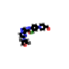 O=CC1CCN(c2ccc(NC(=O)c3cnn4ccc(N5C[C@H]6C[C@@H]5CO6)nc34)c(Cl)c2)CC1